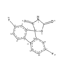 O=C1NC(=O)C2(O1)c1cc(F)ccc1-c1ccc(F)cc12